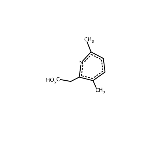 Cc1ccc(C)c(CC(=O)O)n1